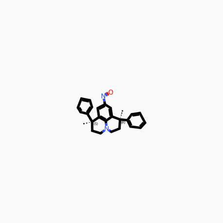 C[C@@]1(c2ccccc2)CCN2CC[C@](C)(c3ccccc3)c3cc(N=O)cc1c32